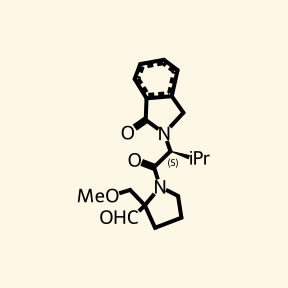 COCC1(C=O)CCCN1C(=O)[C@H](C(C)C)N1Cc2ccccc2C1=O